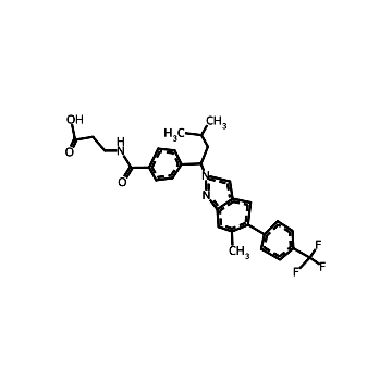 Cc1cc2nn(C(CC(C)C)c3ccc(C(=O)NCCC(=O)O)cc3)cc2cc1-c1ccc(C(F)(F)F)cc1